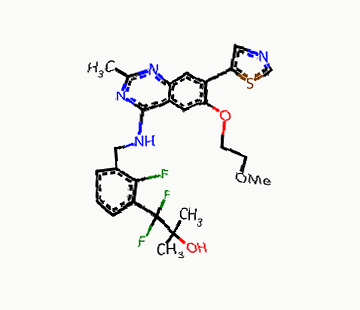 COCCOc1cc2c(NCc3cccc(C(F)(F)C(C)(C)O)c3F)nc(C)nc2cc1-c1cncs1